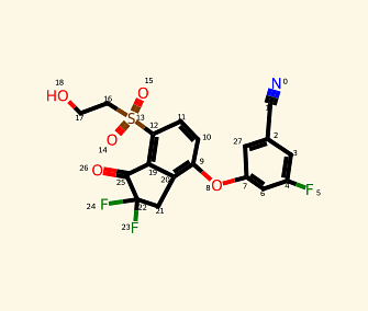 N#Cc1cc(F)cc(Oc2ccc(S(=O)(=O)CCO)c3c2CC(F)(F)C3=O)c1